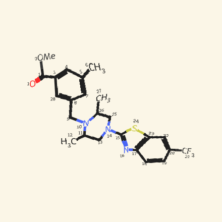 COC(=O)c1cc(C)cc(CN2C(C)CN(c3nc4ccc(C(F)(F)F)cc4s3)CC2C)c1